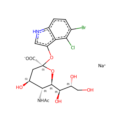 CC(=O)N[C@H]1[C@H]([C@H](O)[C@H](O)CO)O[C@@](Oc2c[nH]c3ccc(Br)c(Cl)c23)(C(=O)[O-])C[C@@H]1O.[Na+]